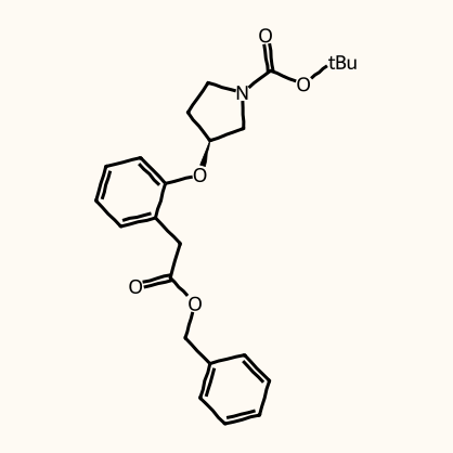 CC(C)(C)OC(=O)N1CC[C@H](Oc2ccccc2CC(=O)OCc2ccccc2)C1